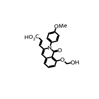 COc1ccc(-n2c(C=CC(=O)O)cc3cccc(OCO)c3c2=O)cc1